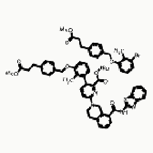 COC(=O)CCc1ccc(COc2cccc(-c3ccc(N4CCc5cccc(C(=O)Nc6nc7ccccc7s6)c5C4)nc3C(=O)OC(C)(C)C)c2C)cc1.COC(=O)CCc1ccc(COc2cccc(Br)c2C)cc1